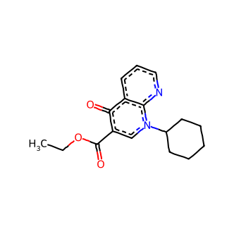 CCOC(=O)c1cn(C2CCCCC2)c2ncccc2c1=O